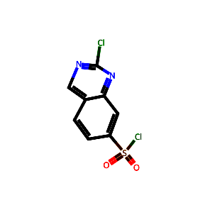 O=S(=O)(Cl)c1ccc2cnc(Cl)nc2c1